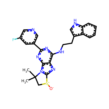 CC1(C)C[S+]([O-])c2nc3c(NCCc4c[nH]c5ccccc45)nc(-c4cncc(F)c4)nc3n21